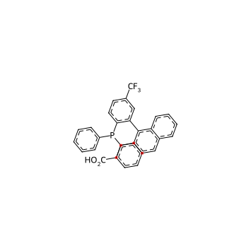 O=C(O)CCc1ccc2ccccc2c1-c1cc(C(F)(F)F)ccc1P(c1ccccc1)c1ccccc1